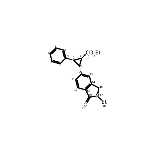 CCOC(=O)[C@@H]1[C@H](c2ccccc2)[C@H]1c1ccc2c(c1)CN(CC)C2=O